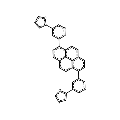 c1ncc(-c2cncc(-c3ccc4ccc5c(-c6cncc(-c7cnco7)c6)ccc6ccc3c4c65)c2)o1